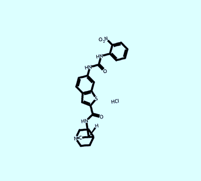 Cl.O=C(Nc1ccc2cc(C(=O)N[C@H]3CN4CCC3CC4)sc2c1)Nc1ccccc1[N+](=O)[O-]